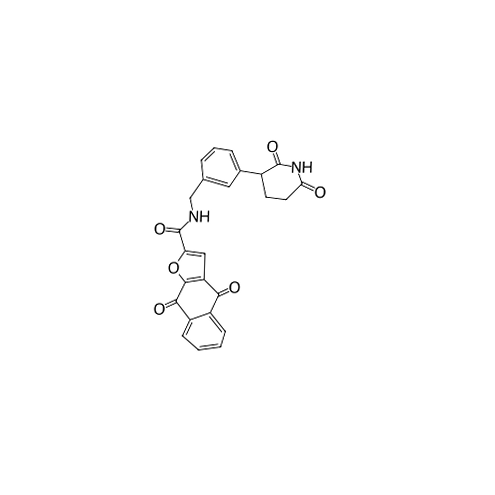 O=C1CCC(c2cccc(CNC(=O)c3cc4c(o3)C(=O)c3ccccc3C4=O)c2)C(=O)N1